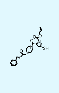 C=CCOC(=O)N1C[C@@H](S)C[C@H]1C(=O)N1CCN(CC(=O)OCc2ccccc2)CC1